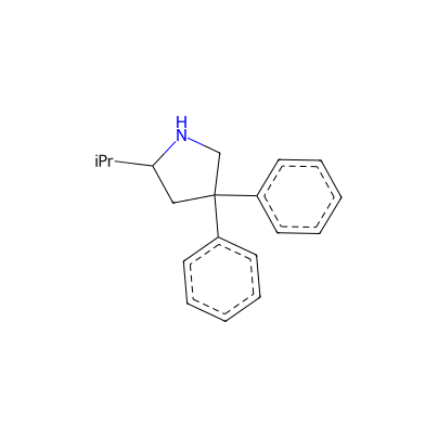 CC(C)C1CC(c2ccccc2)(c2ccccc2)CN1